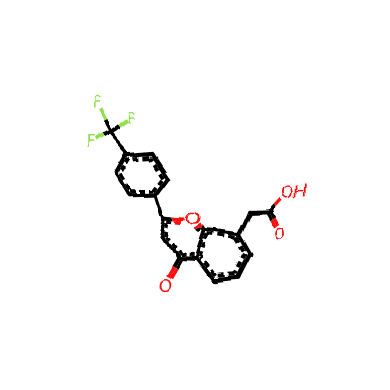 O=C(O)Cc1cccc2c(=O)cc(-c3ccc(C(F)(F)F)cc3)oc12